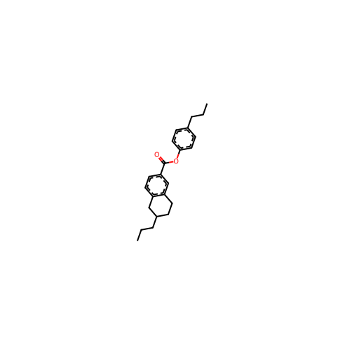 CCCc1ccc(OC(=O)c2ccc3c(c2)CCC(CCC)C3)cc1